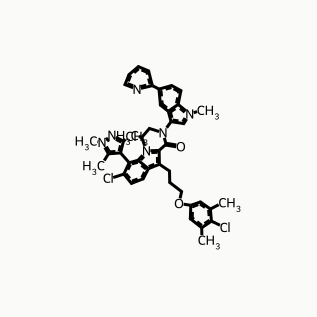 Cc1cc(OCCCc2c3n(c4c(-c5c(C)nn(C)c5C)c(Cl)ccc24)C(C)CN(c2cn(C)c4ccc(-c5ccccn5)cc24)C3=O)cc(C)c1Cl